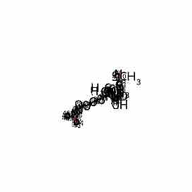 Cc1ncsc1-c1ccc(CNC(=O)[C@@H]2C[C@H](O)CN2C(=O)[C@@H](NC(=O)CCOCCOCCOCCC(=O)N2CCN(C(c3ccccc3)c3ccccc3)CC2)C(C)(C)C)cc1